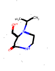 CC(C)N1CCNC(=O)C1CO